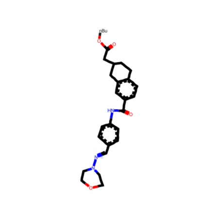 CCCCOC(=O)CC1CCc2ccc(C(=O)Nc3ccc(/C=N/N4CCOCC4)cc3)cc2C1